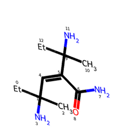 CCC(C)(N)C=C(C(N)=O)C(C)(N)CC